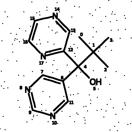 CC(C)(C)C(O)(c1cncnc1)c1cnccn1